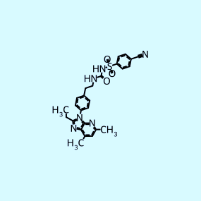 CCc1nc2c(C)cc(C)nc2n1-c1ccc(CCNC(=O)NS(=O)(=O)c2ccc(C#N)cc2)cc1